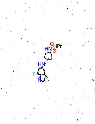 CC(C)S(=O)(=O)N[C@H]1CC[C@H](CNc2cc(F)c3ncccc3c2)CC1